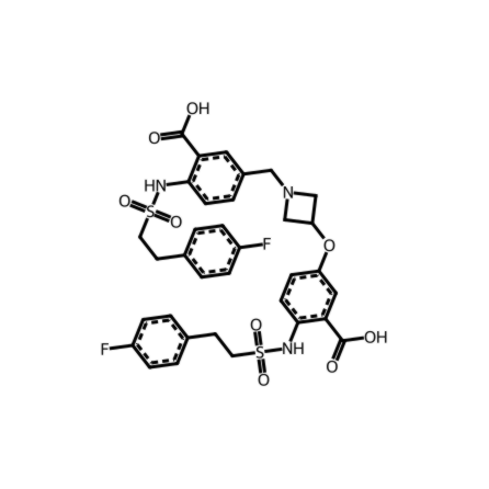 O=C(O)c1cc(CN2CC(Oc3ccc(NS(=O)(=O)CCc4ccc(F)cc4)c(C(=O)O)c3)C2)ccc1NS(=O)(=O)CCc1ccc(F)cc1